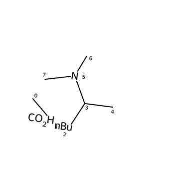 CC(=O)O.CCCCC(C)N(C)C